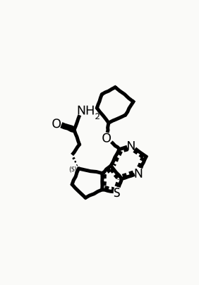 NC(=O)CC[C@H]1CCc2sc3ncnc(OC4CCCCC4)c3c21